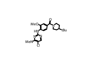 CNc1nc(Nc2ccc(C(=O)N3CCC(C(C)(C)C)CC3)cc2OC)ncc1Cl